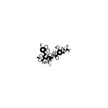 CCOc1c(C(N)=O)cc([C@@](O)(CNC(=O)c2cc(OC)c3nn(C(F)F)cc3c2)C(F)(F)F)nc1-c1ccc(F)c(Cl)c1Cl